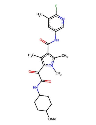 COC1CCC(NC(=O)C(=O)c2c(C)c(C(=O)Nc3cnc(F)c(C)c3)c(C)n2C)CC1